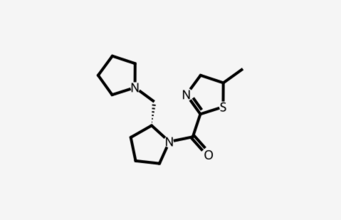 CC1CN=C(C(=O)N2CCC[C@@H]2CN2CCCC2)S1